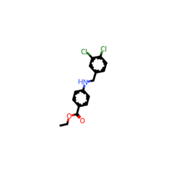 CCOC(=O)c1ccc(NCc2ccc(Cl)c(Cl)c2)cc1